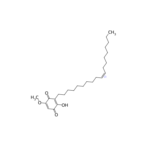 CCCCCCCC/C=C\CCCCCCCCCC1=C(O)C(=O)C=C(OC)C1=O